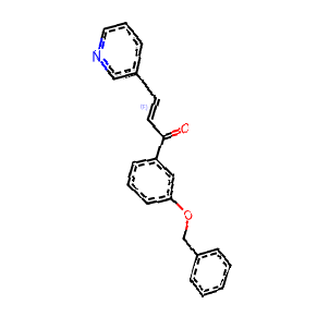 O=C(/C=C/c1cccnc1)c1cccc(OCc2ccccc2)c1